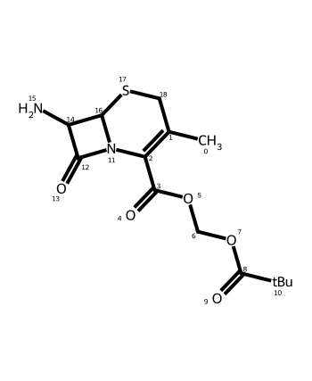 CC1=C(C(=O)OCOC(=O)C(C)(C)C)N2C(=O)C(N)C2SC1